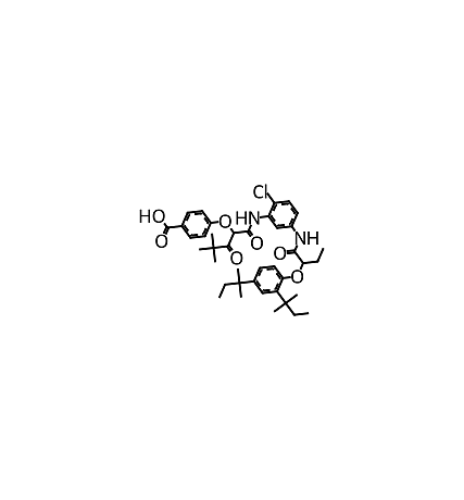 CCC(Oc1ccc(C(C)(C)CC)cc1C(C)(C)CC)C(=O)Nc1ccc(Cl)c(NC(=O)C(Oc2ccc(C(=O)O)cc2)C(=O)C(C)(C)C)c1